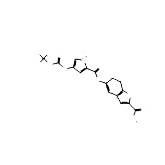 COC(=O)c1cc2c(o1)CCC(NC(=O)c1cc(NC(=O)OC(C)(C)C)cn1C)=C2